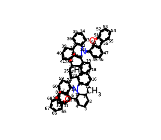 CC1C=CC=C(c2ccccc2)C1N(c1ccc2ccc3c4c2c1C=CC4(C)CC=C3N(c1ccccc1-c1ccccc1)c1cccc2c1oc1ccccc12)c1cccc2c1oc1ccccc12